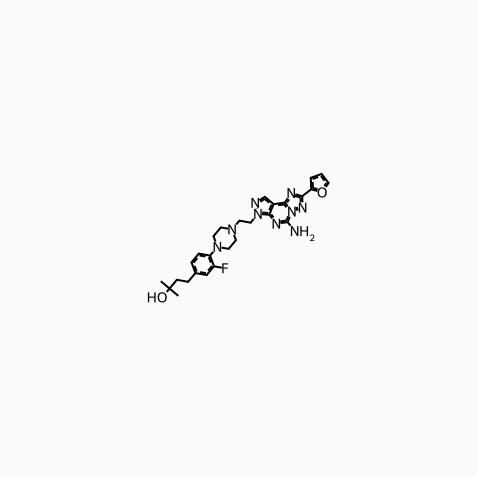 CC(C)(O)CCc1ccc(N2CCN(CCn3ncc4c3nc(N)n3nc(-c5ccco5)nc43)CC2)c(F)c1